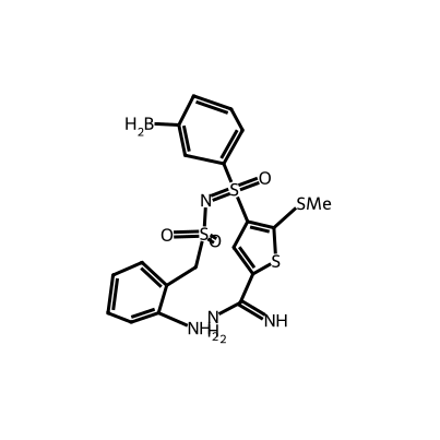 Bc1cccc(S(=O)(=NS(=O)(=O)Cc2ccccc2N)c2cc(C(=N)N)sc2SC)c1